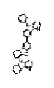 c1ccc(-n2c3ccc(-c4ccc5oc6c(-n7c8ccccc8c8ncccc87)cccc6c5c4)cc3c3ncccc32)cc1